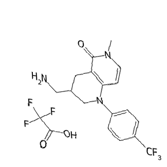 Cn1ccc2c(c1=O)CC(CN)CN2c1ccc(C(F)(F)F)cc1.O=C(O)C(F)(F)F